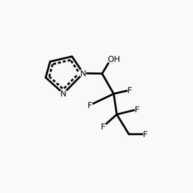 OC(n1cccn1)C(F)(F)C(F)(F)CF